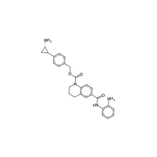 Nc1ccccc1NC(=O)c1ccc2c(c1)CCCN2C(=O)OCc1ccc(C2C[C@@H]2N)cc1